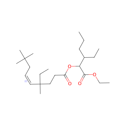 CCCC(CC)C(OC(=O)CCC(C)(/C=C\CC(C)(C)C)CC)C(=O)OCC